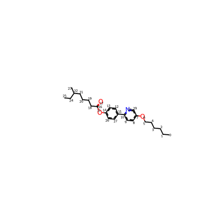 CCCCCCOc1ccc(-c2ccc(OC(=O)CCCCC(C)CC)cc2)nc1